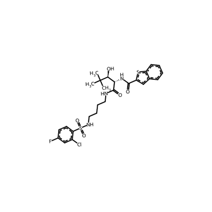 CC(C)(C)[C@@H](O)[C@H](NC(=O)c1cc2ccccc2s1)C(=O)NCCCCNS(=O)(=O)c1ccc(F)cc1Cl